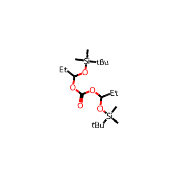 CCC(OC(=O)OC(CC)O[Si](C)(C)C(C)(C)C)O[Si](C)(C)C(C)(C)C